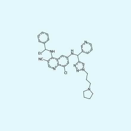 CCC(Nc1c(C#N)cnc2c(Cl)cc(NC(c3cccnc3)c3cn(CCCN4CCCC4)nn3)cc12)c1ccccc1